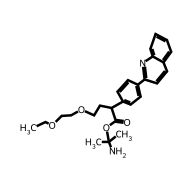 CCOCCOCCC(C(=O)OC(C)(C)N)c1ccc(-c2ccc3ccccc3n2)cc1